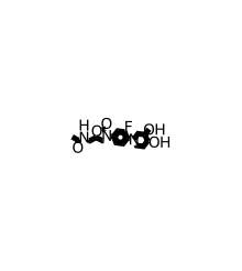 CC(=O)NCC1CN(c2ccc(N3CCC(O)C(O)C3)c(F)c2)C(=O)O1